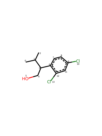 CC(C)C(CO)c1ccc(Cl)cc1Cl